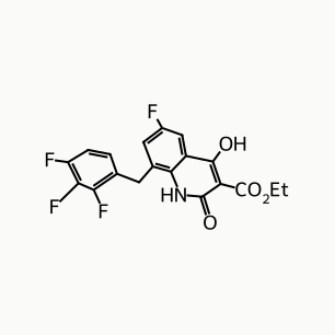 CCOC(=O)c1c(O)c2cc(F)cc(Cc3ccc(F)c(F)c3F)c2[nH]c1=O